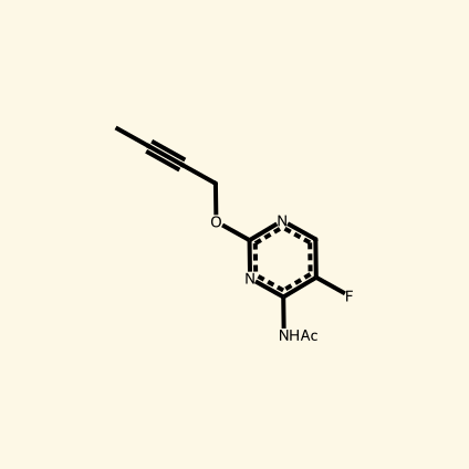 CC#CCOc1ncc(F)c(NC(C)=O)n1